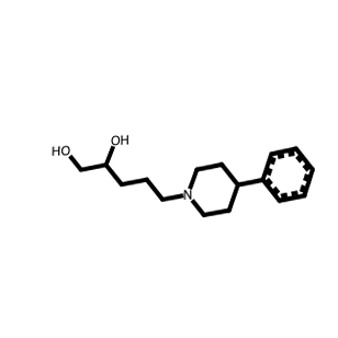 OCC(O)CCCN1CCC(c2ccccc2)CC1